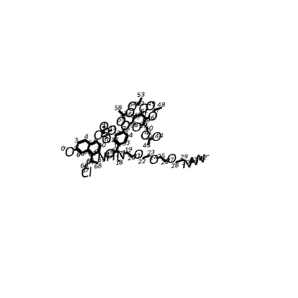 COc1ccc2c(OS(=O)(=O)Oc3cc(C(=O)N(C)CCOCCOCCOCCN=[N+]=[N-])ccc3OC3O[C@H](COC(C)=O)[C@H](OC(C)=O)[C@H](OC(C)=O)[C@@H]3OC(C)=O)cc3c(c2c1)[C@H](CCl)CN3